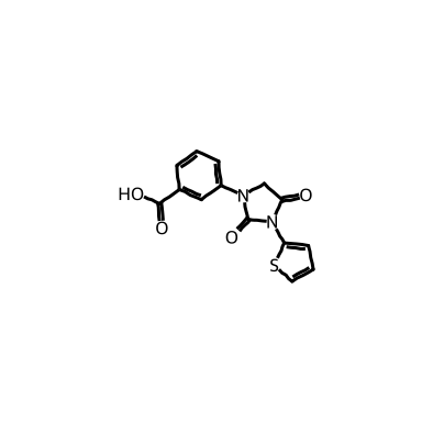 O=C(O)c1cccc(N2CC(=O)N(c3cccs3)C2=O)c1